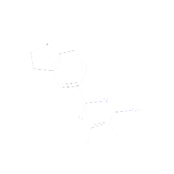 Cc1nc(-c2ccc3c(c2)CCC3(C)C)nc(N)c1C(C)C